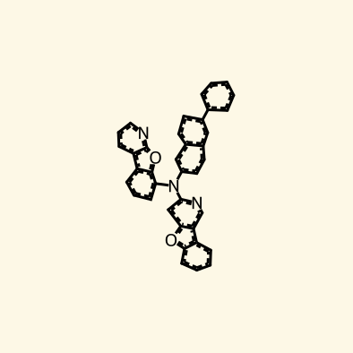 c1ccc(-c2ccc3cc(N(c4cc5oc6ccccc6c5cn4)c4cccc5c4oc4ncccc45)ccc3c2)cc1